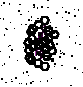 C[PH](C[PH](CC[PH](C[PH](C)(c1c2ccccc2cc2ccccc12)c1c2ccccc2cc2ccccc12)(c1c2ccccc2cc2ccccc12)c1c2ccccc2cc2ccccc12)(c1c2ccccc2cc2ccccc12)c1c2ccccc2cc2ccccc12)(c1c2ccccc2cc2ccccc12)c1c2ccccc2cc2ccccc12